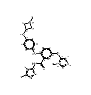 Cc1nsc(NC(=O)c2nc(Sc3nncn3C)ccc2Sc2ccc(OC3CN(C)C3)cc2)n1